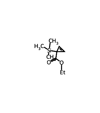 CCOC(=O)C1([Si](C)(C)C)C=C1